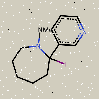 CNN1CCCCCC1(I)c1cccnc1